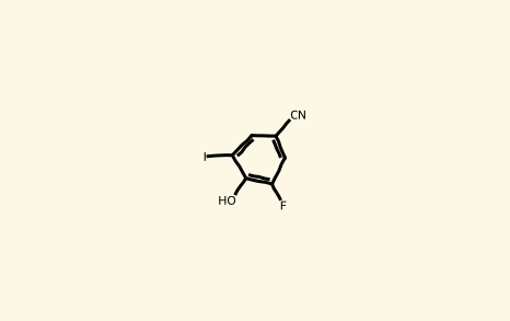 N#Cc1cc(F)c(O)c(I)c1